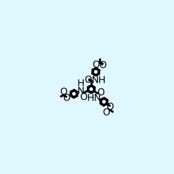 CC(=O)Oc1ccc(NC(=O)c2cc(C(=O)Nc3ccc(OC(C)=O)cc3)cc(C(=O)Nc3ccc(OC(C)=O)cc3)c2)cc1